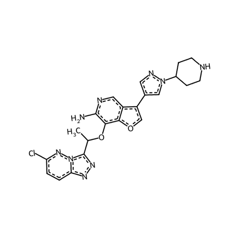 CC(Oc1c(N)ncc2c(-c3cnn(C4CCNCC4)c3)coc12)c1nnc2ccc(Cl)nn12